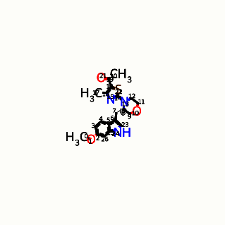 COc1ccc2c(C[C@H]3COCCN3c3nc(C)c(C(C)=O)s3)c[nH]c2c1